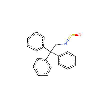 O=S=NCC(c1ccccc1)(c1ccccc1)c1ccccc1